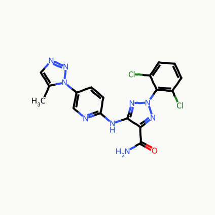 Cc1cnnn1-c1ccc(Nc2nn(-c3c(Cl)cccc3Cl)nc2C(N)=O)nc1